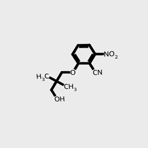 CC(C)(CO)COc1cccc([N+](=O)[O-])c1C#N